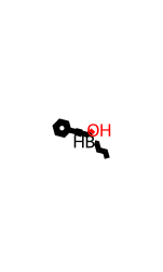 CCCCBC(O)C#Cc1ccccc1